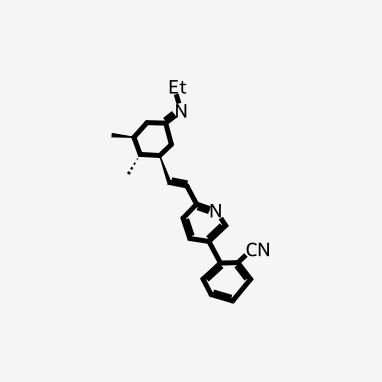 CC/N=C1/C[C@@H](/C=C/c2ccc(-c3ccccc3C#N)cn2)[C@H](C)[C@@H](C)C1